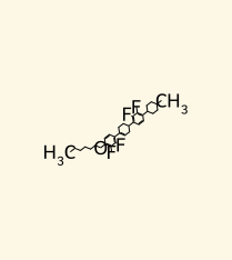 CCCCCCOc1ccc(C2=CCC(c3ccc(C4CCC(C)CC4)c(F)c3F)CC2)c(F)c1F